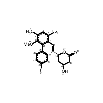 COc1c(C)cc(C(C)C)c(C=C[C@H]2C[C@H](O)CC(=O)O2)c1-c1ccc(F)cc1